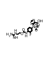 N=C(N)NCCOC(=O)Nc1ccc(N(c2scnc2C(=O)O)[SH](=O)=O)cc1F